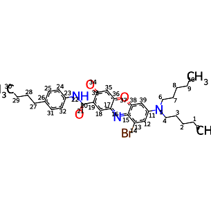 CCCCCN(CCCCC)c1cc(Br)c2nc3cc(C(=O)Nc4ccc(CCCC)cc4)c(=O)cc-3oc2c1